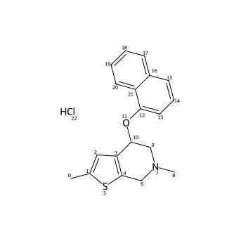 Cc1cc2c(s1)CN(C)CC2Oc1cccc2ccccc12.Cl